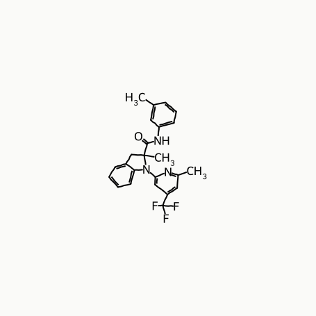 Cc1cccc(NC(=O)C2(C)Cc3ccccc3N2c2cc(C(F)(F)F)cc(C)n2)c1